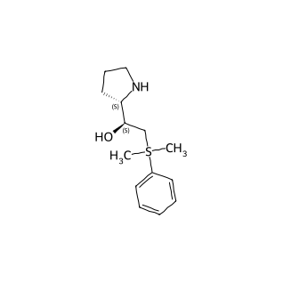 CS(C)(C[C@@H](O)[C@@H]1CCCN1)c1ccccc1